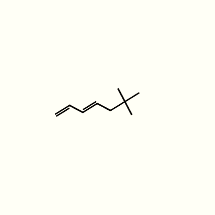 C=CC=CCC(C)(C)C